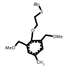 CCC(C)SCCOc1c(COC)cc(C)cc1COC